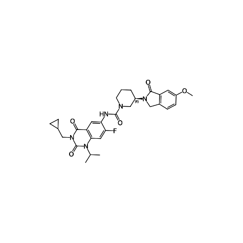 COc1ccc2c(c1)C(=O)N([C@@H]1CCCN(C(=O)Nc3cc4c(=O)n(CC5CC5)c(=O)n(C(C)C)c4cc3F)C1)C2